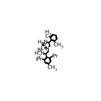 Cc1cc(C(C)C)c(C(N)C[N](CC(N)c2c(C)cccc2C)[Co]([Br])[Br])c(C(C)C)c1